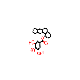 O=C(Oc1cccc2ccc3cc4ccccc4cc3c12)c1cc(O)c(O)c(O)c1